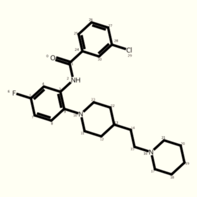 O=C(Nc1cc(F)ccc1N1CCC(CCN2CCCCC2)CC1)c1cccc(Cl)c1